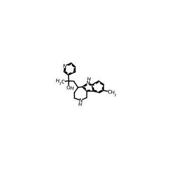 Cc1ccc2[nH]c3c(c2c1)CNCCC3CC(C)(O)c1cccnc1